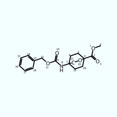 COC(=O)C12CCC(NC(=O)OCc3ccccc3)(CC1)CO2